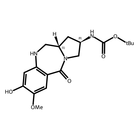 COc1cc2c(cc1O)NC[C@@H]1C[C@@H](NC(=O)OC(C)(C)C)CN1C2=O